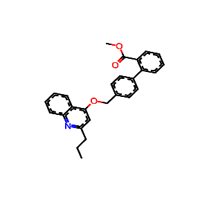 CCCc1cc(OCc2ccc(-c3ccccc3C(=O)OC)cc2)c2ccccc2n1